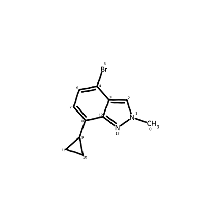 Cn1cc2c(Br)ccc(C3CC3)c2n1